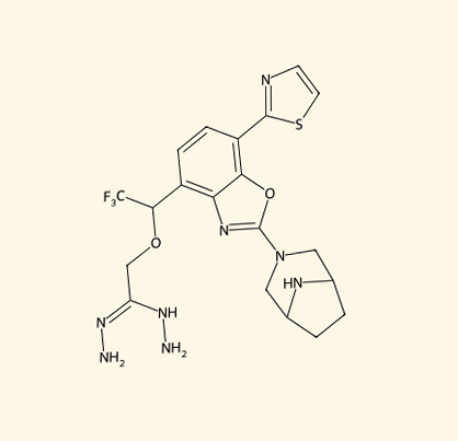 N/N=C(/COC(c1ccc(-c2nccs2)c2oc(N3CC4CCC(C3)N4)nc12)C(F)(F)F)NN